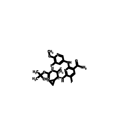 COc1ncc(Nc2nc(N[C@H](C3CC3)[C@H](C)NC(=O)OC(C)(C)C)c(F)cc2C(N)=O)cc1F